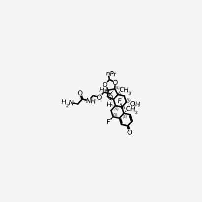 CCCC1O[C@@H]2CC3[C@@H]4C[C@H](F)C5=CC(=O)C=C[C@]5(C)[C@@]4(F)[C@@H](O)C[C@]3(C)[C@]2(C(=O)COCNC(=O)CN)O1